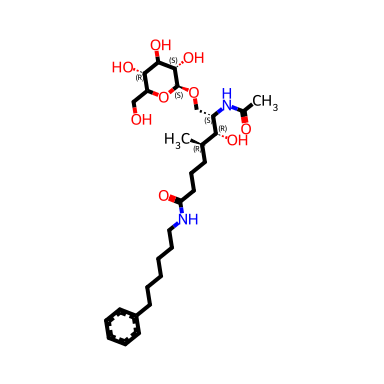 CC(=O)N[C@@H](CO[C@H]1OC(CO)[C@H](O)C(O)[C@@H]1O)[C@H](O)[C@H](C)CCCC(=O)NCCCCCCc1ccccc1